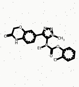 CCN(C(=O)Oc1ccccc1Cl)c1c(-c2ccc3c(c2)OCC(=O)N3)nnn1C